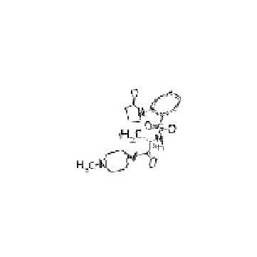 [CH2][C@H](NS(=O)(=O)c1ccccc1N1CCCC1=O)C(=O)N1CCN(C)CC1